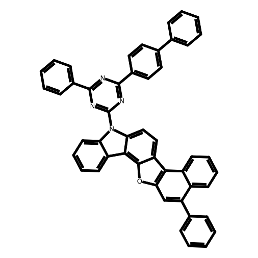 c1ccc(-c2ccc(-c3nc(-c4ccccc4)nc(-n4c5ccccc5c5c6oc7cc(-c8ccccc8)c8ccccc8c7c6ccc54)n3)cc2)cc1